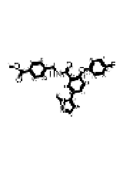 COC(=O)c1ccc(CNC(=O)c2cc(-c3ccnn3C)ccc2Oc2ccc(F)cc2)cc1